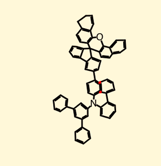 C1=Cc2c(ccc3c2Oc2c(ccc4ccccc24)C32c3ccccc3-c3cc(-c4ccc(N(c5cc(-c6ccccc6)cc(-c6ccccc6)c5)c5ccccc5-c5ccccc5)cc4)ccc32)CC1